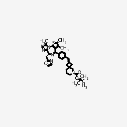 Cc1sc2c(c1C)C(c1ccc(C=C3CC4(CCCN(C(=O)OC(C)(C)C)C4)C3)cc1)=N[C@@H](Cc1ncco1)c1nnc(C)n1-2